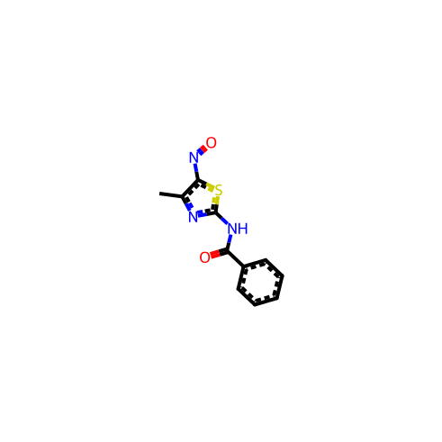 Cc1nc(NC(=O)c2ccccc2)sc1N=O